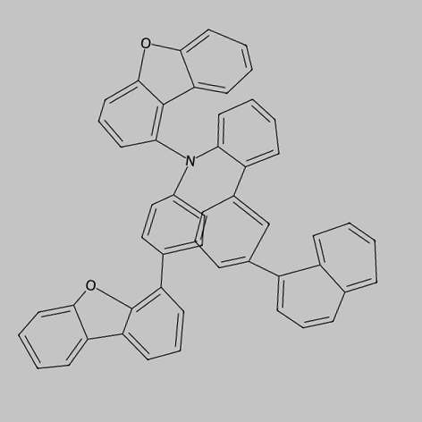 c1cc(-c2ccccc2N(c2ccc(-c3cccc4c3oc3ccccc34)cc2)c2cccc3oc4ccccc4c23)cc(-c2cccc3ccccc23)c1